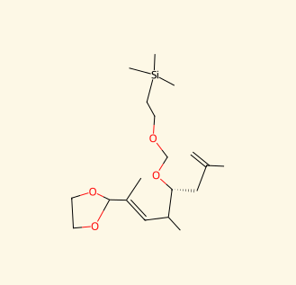 C=C(C)C[C@@H](OCOCC[Si](C)(C)C)C(C)/C=C(\C)C1OCCO1